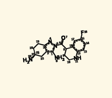 Nc1c2c(nn1C(=O)C1CCNc3ccc(F)cc31)CC[C@H](N)C2